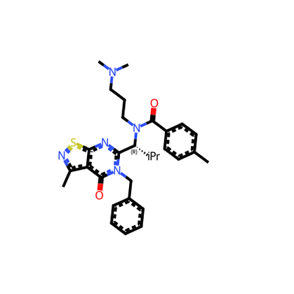 Cc1ccc(C(=O)N(CCCN(C)C)[C@@H](c2nc3snc(C)c3c(=O)n2Cc2ccccc2)C(C)C)cc1